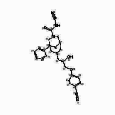 N#CNC(=O)N1CC2CN(CC(O)COc3ccc(C#N)cc3)CC(c3ccccc3)(C2)C1